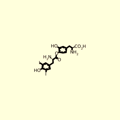 N[C@@H](Cc1ccc(OC(=O)[C@@H](N)Cc2cc(I)c(O)c(I)c2)c(O)c1)C(=O)O